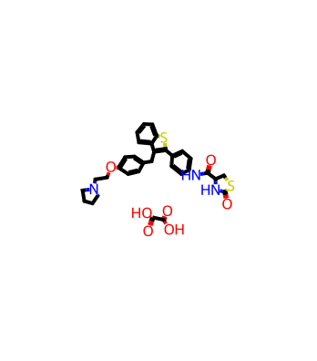 O=C(O)C(=O)O.O=C1NC(C(=O)Nc2ccc(-c3sc4ccccc4c3Cc3ccc(OCCN4CCCC4)cc3)cc2)CS1